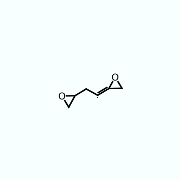 [C](/CC1CO1)=C1\CO1